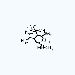 CCC(CONC)C(C(C)C)C(C)(C)C